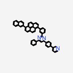 c1ccc(-c2cc(-c3ccc(-c4cccnc4)cc3)nc(-c3cccc(-c4ccc5ccc6c(-c7ccc8ccccc8c7)ccc7ccc4c5c76)c3)n2)cc1